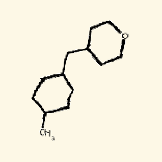 CC1CCC(CC2CCOCC2)CC1